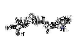 CCC(=O)NCCNC(=O)/N=C(/N)NCCC[C@@H](NC(=O)C(c1ccccc1)c1ccc(NCCCNC(=O)[C@H](N)CCCNC(=O)[C@@H](Cc2ccc(-c3ccccc3)cc2)NC(C=O)N2CCN(CC(=O)O)CCN(CC(=O)O)CCN(CC(=O)O)CC2)cc1)C(=O)NCc1ccc(O)cc1